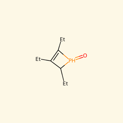 CCC1=C(CC)[PH](=O)C1CC